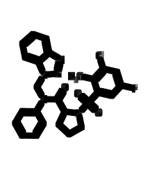 Cc1c(Cl)cc(F)cc1S(=O)(=O)N1CCCC1C(=O)N(Cn1nnc2ccccc21)c1ccccc1